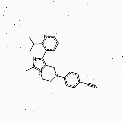 Cc1nc(-c2cccnc2C(C)C)c2n1CCN(c1ccc(C#N)cc1)C2